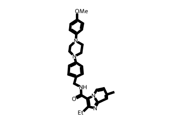 CCc1nc2cc(C)ccn2c1C(=O)NCc1ccc(N2CCN(c3ccc(OC)cc3)CC2)cc1